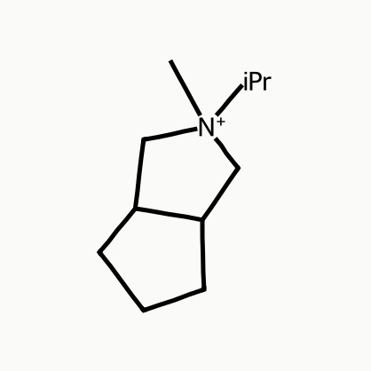 CC(C)[N+]1(C)CC2CCCC2C1